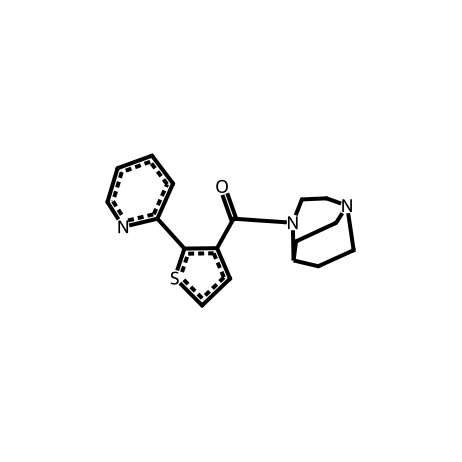 O=C(c1ccsc1-c1ccccn1)N1CCN2CCC1CC2